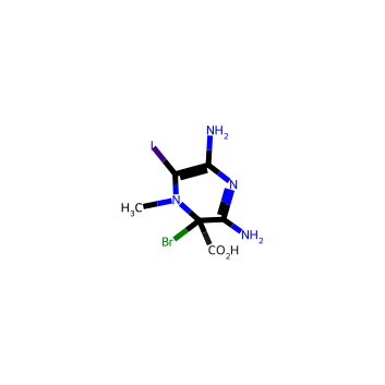 CN1C(I)=C(N)N=C(N)C1(Br)C(=O)O